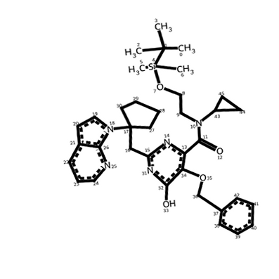 CC(C)(C)[Si](C)(C)OCCN(C(=O)c1nc(CC2(n3ccc4cccnc43)CCCC2)nc(O)c1OCc1ccccc1)C1CC1